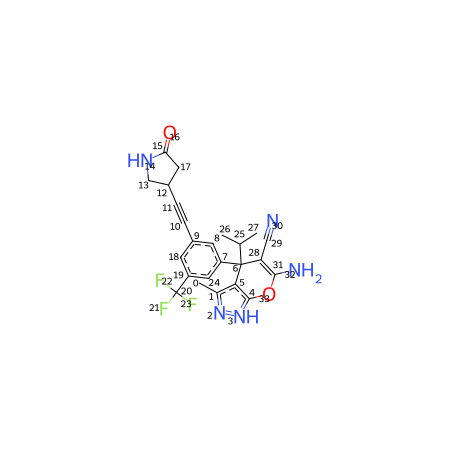 Cc1n[nH]c2c1C(c1cc(C#CC3CNC(=O)C3)cc(C(F)(F)F)c1)(C(C)C)C(C#N)=C(N)O2